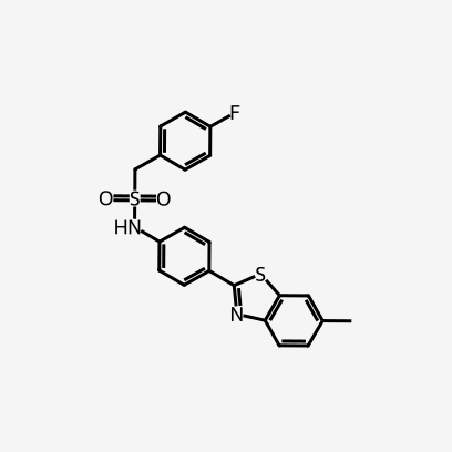 Cc1ccc2nc(-c3ccc(NS(=O)(=O)Cc4ccc(F)cc4)cc3)sc2c1